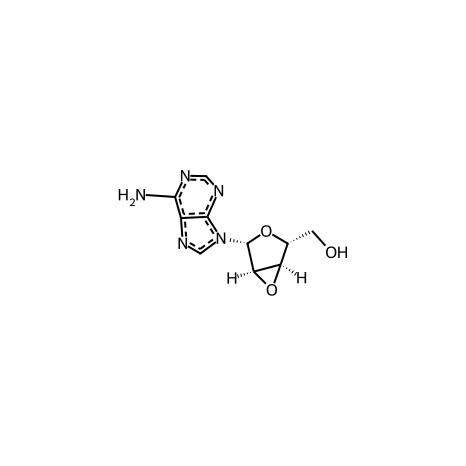 Nc1ncnc2c1ncn2[C@@H]1O[C@H](CO)[C@H]2O[C@H]21